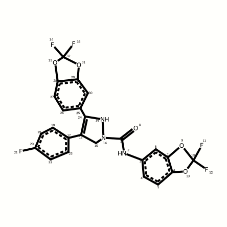 O=C(Nc1ccc2c(c1)OC(F)(F)O2)N1CC(c2ccc(F)cc2)=C(c2ccc3c(c2)OC(F)(F)O3)N1